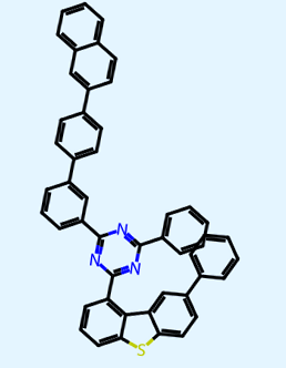 c1ccc(-c2ccc3sc4cccc(-c5nc(-c6ccccc6)nc(-c6cccc(-c7ccc(-c8ccc9ccccc9c8)cc7)c6)n5)c4c3c2)cc1